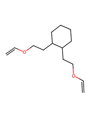 C=COCCC1CCCCC1CCOC=C